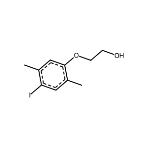 Cc1cc(OCCO)c(C)cc1I